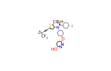 O=C(O)c1sc(C#CC2(C(F)(F)F)CC2)cc1N(C(=O)[C@H]1CC[C@H](I)CC1)[C@H]1CC[C@H](Oc2ccc(O)nn2)CC1